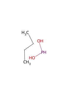 CCCC.OPO